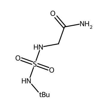 CC(C)(C)NS(=O)(=O)NCC(N)=O